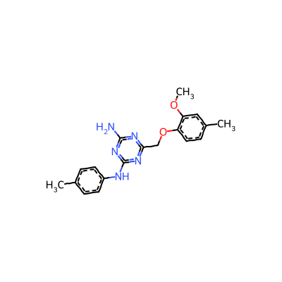 COc1cc(C)ccc1OCc1nc(N)nc(Nc2ccc(C)cc2)n1